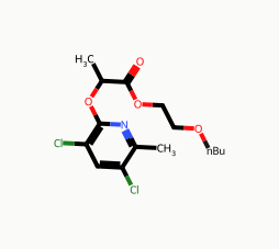 CCCCOCCOC(=O)C(C)Oc1nc(C)c(Cl)cc1Cl